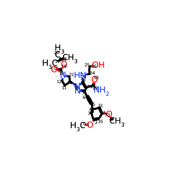 COc1cc(C#Cc2nn(C3CCN(C(=O)OC(C)(C)C)C3)c(NCCO)c2C(N)=O)cc(OC)c1